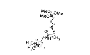 CO[Si](CCCSCC(C)C(=O)NCCC[N+](C)(C)C)(OC)OC